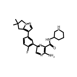 CC1(C)Cc2c(-c3ccc(F)c(-c4cnc(N)c(C(=O)NC5CCCNC5)n4)c3)cnn2C1